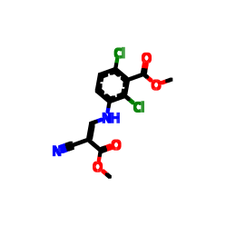 COC(=O)C(C#N)=CNc1ccc(Cl)c(C(=O)OC)c1Cl